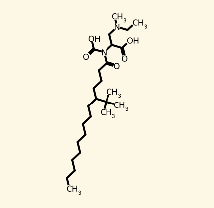 CCCCCCCCCCC(CCCC(=O)N(C(=O)O)C(CN(C)CC)C(=O)O)C(C)(C)C